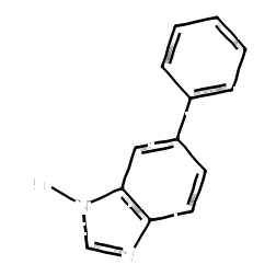 CC(C)n1cnc2ccc(-c3cc[c]cc3)cc21